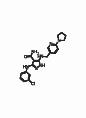 NC(=O)c1c(Nc2cccc(Cl)c2)n[nH]c1NCc1ccc(N2CCCC2)nc1